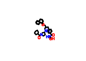 O=C(NO)c1ccc(/C=C(\CNC2CCN(C(=O)C3CCCCC3)C2)COc2cccc3ccccc23)cc1